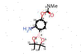 CNC(=O)Oc1ccc(B2OC(C)(C)C(C)(C)O2)c(N)c1